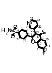 NS(=O)(=O)c1ccc(-c2oc3cc(F)ccc3c(=S)c2-c2cccnc2)cc1